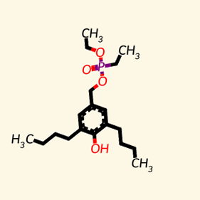 CCCCc1cc(COP(=O)(CC)OCC)cc(CCCC)c1O